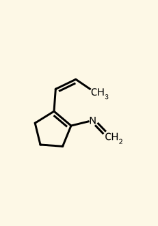 C=NC1=C(/C=C\C)CCC1